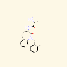 CNC(C)C(=O)NC1CCc2ccccc2N(Cc2ccccc2C)C1=O